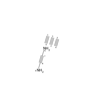 C#C.C#C.C#C.NC#CN